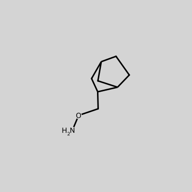 NOCC1CC2CCC1C2